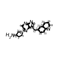 N[C@@H]1CCN(c2cnc3nnn(Cc4ccc5ncccc5c4)c3n2)C1